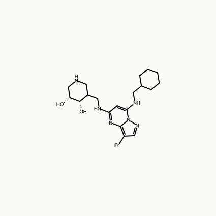 CC(C)c1cnn2c(NCC3CCCCC3)cc(NCC3CNC[C@@H](O)[C@H]3O)nc12